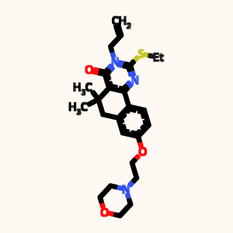 C=CCn1c(SCC)nc2c(c1=O)C(C)(C)Cc1cc(OCCN3CCOCC3)ccc1-2